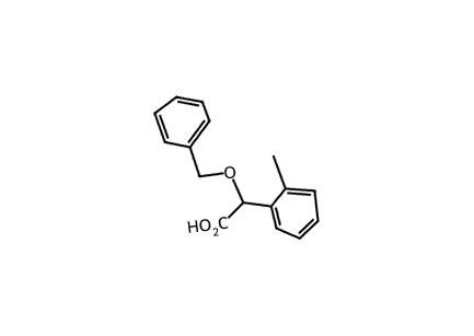 Cc1ccccc1C(OCc1ccccc1)C(=O)O